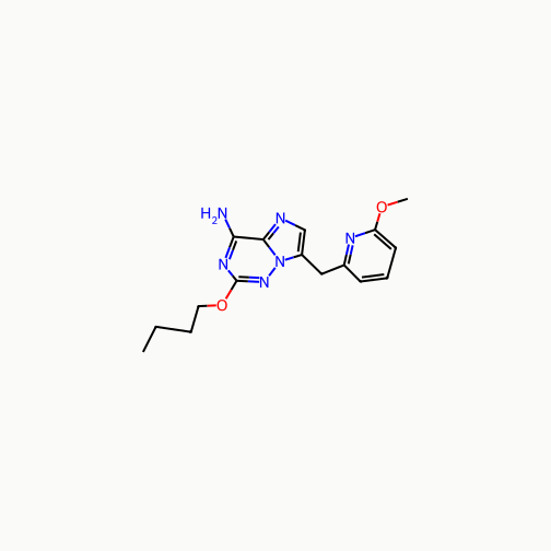 CCCCOc1nc(N)c2ncc(Cc3cccc(OC)n3)n2n1